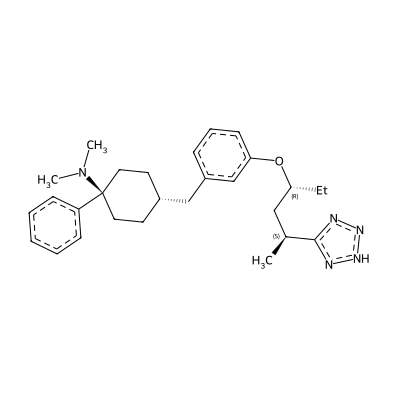 CC[C@H](C[C@H](C)c1nn[nH]n1)Oc1cccc(C[C@H]2CC[C@](c3ccccc3)(N(C)C)CC2)c1